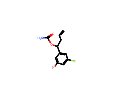 C=CCC(OC(N)=O)c1cc(F)cc(Br)c1